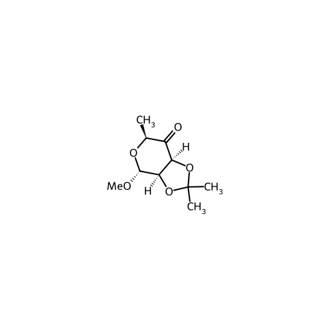 CO[C@@H]1O[C@@H](C)C(=O)[C@H]2OC(C)(C)O[C@@H]12